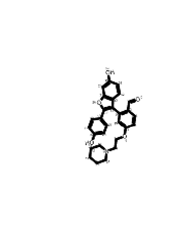 O=Cc1ccc(OCCN2CCCCC2)cc1-c1c(-c2ccc(O)cc2)oc2cc(O)ccc12